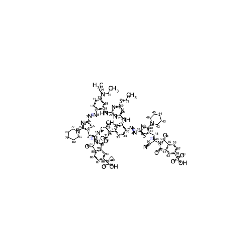 [C-]#[N+]/C(=C\c1sc(/N=N/c2ccc(N(CC)CC)cc2Nc2nc(Nc3cc(N(CC)CC)ccc3/N=N/c3nc(N4CCCCC4)c(/C=C(\C#N)N4C(=O)c5ccc(S(=O)(=O)O)cc5C4=O)s3)nc(SCC)n2)nc1N1CCCCC1)N1C(=O)c2ccc(S(=O)(=O)O)cc2C1=O